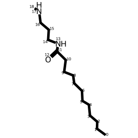 CCCCCCCCCCCC(=O)NCCCNC